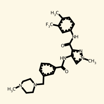 Cc1ccc(NC(=O)c2nn(C)cc2NC(=O)c2cccc(CN3CCN(C)CC3)c2)cc1C(F)(F)F